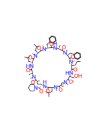 CC[C@H](C)[C@H]1C(=O)N[C@@H]([C@@H](C)O)C(=O)N(C)CC(=O)N(C)[C@@H](CC(C)C)C(=O)N[C@H](C(=O)N2CCCCC2)CC(=O)N(C)[C@@H](C)C(=O)N[C@@H](CC(C)C)C(=O)N(C)[C@@H](CC(C)C)C(=O)N(C)[C@@H](Cc2ccccc2)C(=O)N[C@@H](C)C(=O)N(C)[C@@H](Cc2ccccc2)C(=O)N1C